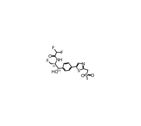 CS(=O)(=O)Cc1ncc(-c2ccc([C@H](O)[C@@H](CF)NC(=O)C(F)F)cc2)s1